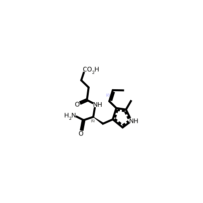 C/C=C\c1c(C[C@H](NC(=O)CCC(=O)O)C(N)=O)c[nH]c1C